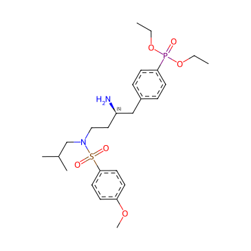 CCOP(=O)(OCC)c1ccc(C[C@H](N)CCN(CC(C)C)S(=O)(=O)c2ccc(OC)cc2)cc1